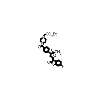 CCOC(=O)CN1CCN(C(=O)c2ccc(C3=C/C(=C4\C(=O)Nc5cc(F)ccc54)OC3(C)C)cc2)CC1